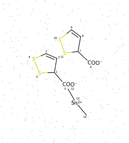 O=C([O-])C1C=CSS1.O=C([O-])C1C=CSS1.[CH3][Sn+2][CH3]